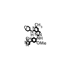 COc1cc(-c2cnnn2C)ccc1Nc1ncc2cc(C)nc(NC3CCOCC3)c2n1